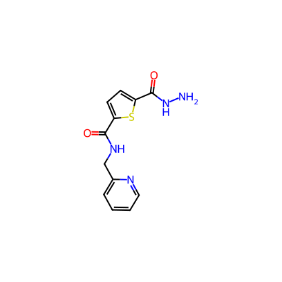 NNC(=O)c1ccc(C(=O)NCc2ccccn2)s1